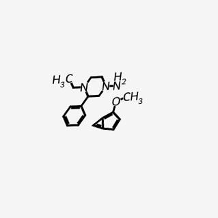 CCN1CCN(N)CC1c1ccccc1.COc1ccc2cc1-2